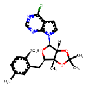 Cc1ccc(S(=O)(=O)O)c(C[C@H]2O[C@@H](n3ccc4c(Cl)ncnc43)[C@@H]3OC(C)(C)O[C@]23C)c1